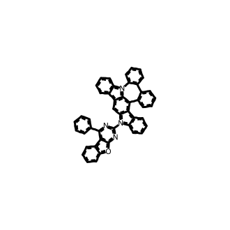 c1ccc(-c2nc(-n3c4ccccc4c4c5c6c(cc43)c3ccccc3n6-c3ccccc3-c3ccccc3-5)nc3oc4ccccc4c23)cc1